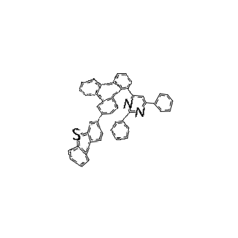 c1ccc(-c2cc(-c3cccc4c5ccccc5c5cc(-c6ccc7c(c6)sc6ccccc67)ccc5c34)nc(-c3ccccc3)n2)cc1